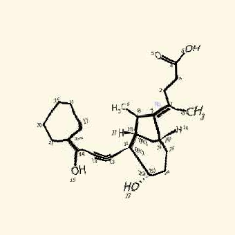 C/C(CCC(=O)O)=C1/C(C)[C@H]2[C@H](C#CC(O)C3CCCCC3)[C@@H](O)CC[C@@H]12